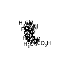 CN1C[C@@H]2CCN(c3c(-c4cnc5c(c4)c(=O)c(C(=O)O)cn5C)cnc4[nH]c5c(N(C)C(=O)OCCl)cc(F)c(C#N)c5c34)[C@@H]2C1